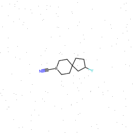 N#CB1CCC2(CC1)CCC(F)C2